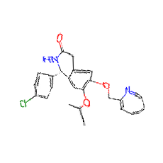 CC(C)Oc1cc2c(cc1OCc1ccccn1)CC(=O)N[C@H]2c1ccc(Cl)cc1